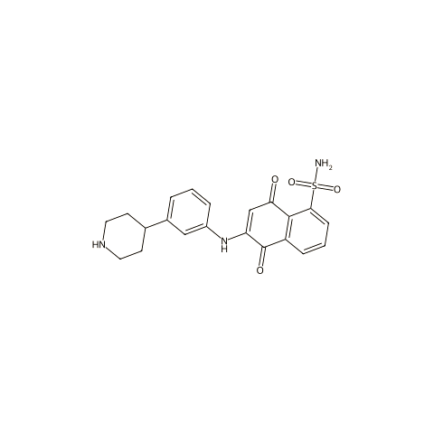 NS(=O)(=O)c1cccc2c1C(=O)C=C(Nc1cccc(C3CCNCC3)c1)C2=O